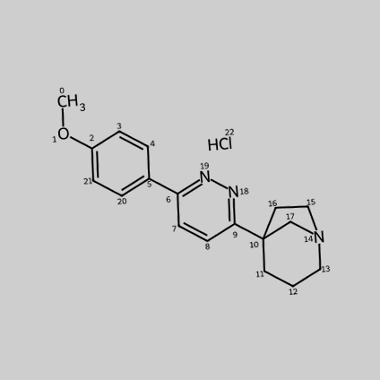 COc1ccc(-c2ccc(C34CCCN(CC3)C4)nn2)cc1.Cl